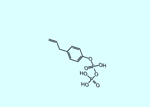 C=CCc1ccc(OP(=O)(O)OP(=O)(O)O)cc1